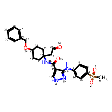 CS(=O)(=O)c1ccc(Nc2n[nH]cc2C(=O)NC2(CC=O)CCC(OCc3ccccc3)CC2)cc1